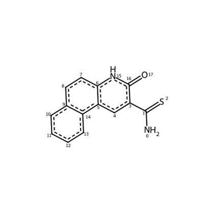 NC(=S)c1cc2c(ccc3ccccc32)[nH]c1=O